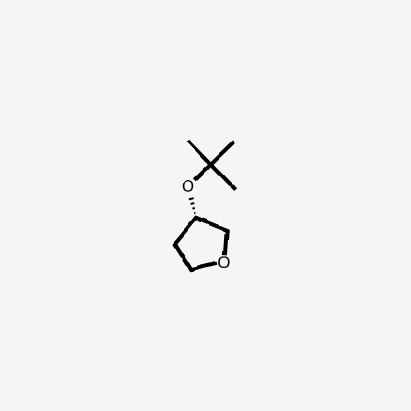 CC(C)(C)O[C@H]1CCOC1